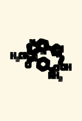 Cn1c(=O)n([C@H]2CC[C@H](C(N)=O)CC2)c2c3nc(-c4cnn(CCO)c4)ccc3ncc21